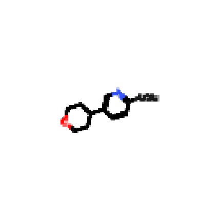 COc1ccc(C2CCOCC2)cn1